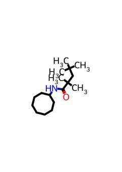 CC(C)(C)CC(C)(C)C(=O)NC1CCCCCCC1